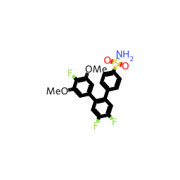 COc1cc(-c2cc(F)c(F)cc2-c2ccc(S(N)(=O)=O)cc2)cc(OC)c1F